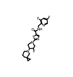 O=C(NCc1ncc(F)cc1F)c1cnc(N2CCC(N3CCCC4(CC4)C3)C(F)C2)s1